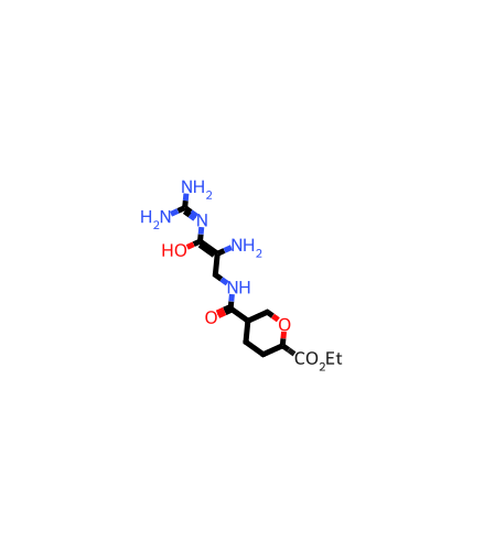 CCOC(=O)C1CCC(C(=O)NC/C(N)=C(\O)N=C(N)N)CO1